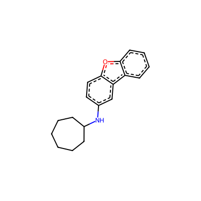 c1ccc2c(c1)oc1ccc(NC3CCCCCC3)cc12